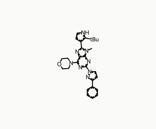 Cn1c(-c2cc[nH]c2C(C)(C)C)nc2c(N3CCOCC3)nc(-n3ccc(-c4ccccc4)n3)nc21